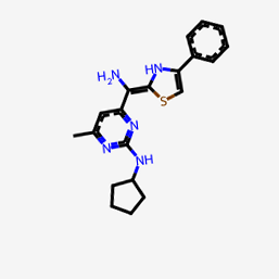 Cc1cc(/C(N)=C2/NC(c3ccccc3)=CS2)nc(NC2CCCC2)n1